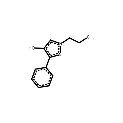 CCCn1cc(O)c(-c2ccccc2)n1